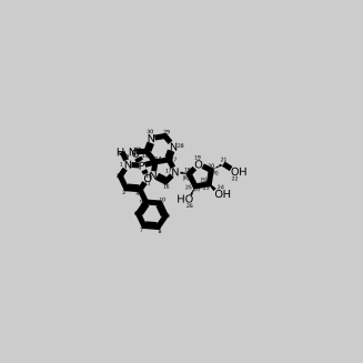 CN1CC=C(c2ccccc2)OP1(=O)C12N=CN([C@@H]3O[C@H](CO)[C@@H](O)[C@@H]3O)C1=NCN=C2N